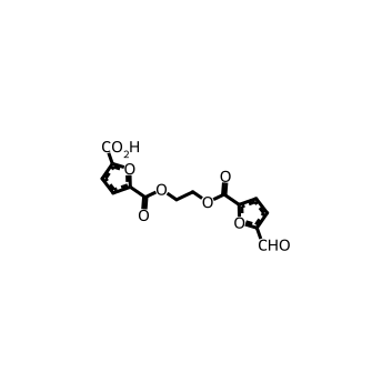 O=Cc1ccc(C(=O)OCCOC(=O)c2ccc(C(=O)O)o2)o1